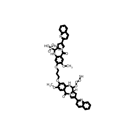 COc1cc2c(cc1OCCCOc1cc3c(cc1OC)C(=O)N1C=C(c4ccc5ccccc5n4)C[C@H]1C(S(=O)(=O)O)N3)NC(OOOS)[C@@H]1CC(c3ccc4ccccc4n3)=CN1C2=O